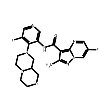 Nc1nn2cc(F)cnc2c1C(=O)Nc1cncc(F)c1N1CCN2CCOCC2C1